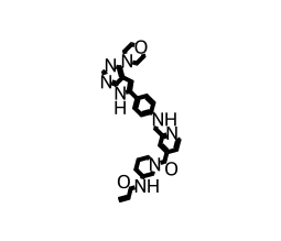 C=CC(=O)NC1CCCN(C(=O)c2ccnc(CNc3ccc(-c4cc5c(N6CCOCC6)ncnc5[nH]4)cc3)c2)C1